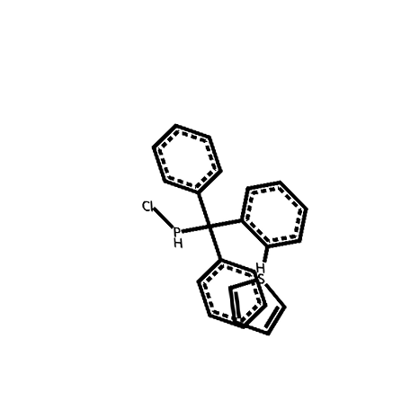 ClPC(c1ccccc1)(c1ccccc1)c1ccccc1[SH]1C=CC=C1